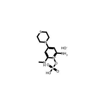 CNc1cc(N2CCSCC2)cc(N)[n+]1OS(=O)(=O)O.[OH-]